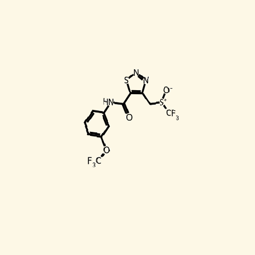 O=C(Nc1cccc(OC(F)(F)F)c1)c1snnc1C[S+]([O-])C(F)(F)F